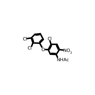 CC(=O)Nc1cc(Oc2cccc(Cl)c2Cl)c(Cl)cc1[N+](=O)[O-]